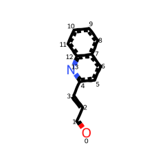 O=C/C=C/c1ccc2ccccc2n1